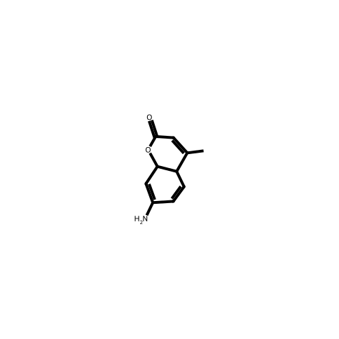 CC1=CC(=O)OC2C=C(N)C=CC12